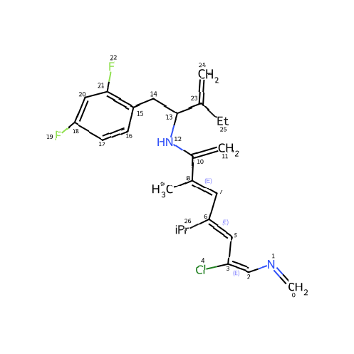 C=N\C=C(Cl)/C=C(/C=C(\C)C(=C)NC(Cc1ccc(F)cc1F)C(=C)CC)C(C)C